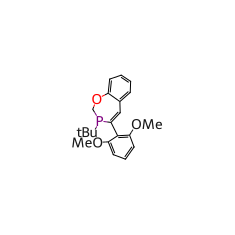 COc1cccc(OC)c1C1=Cc2ccccc2OCP1C(C)(C)C